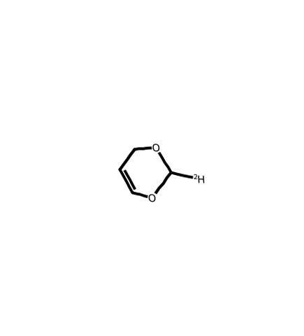 [2H]C1OC=CCO1